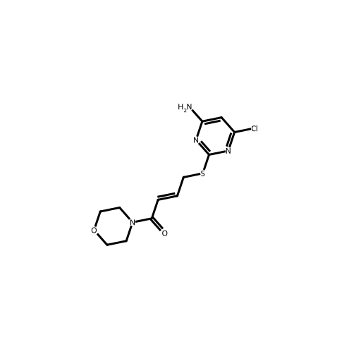 Nc1cc(Cl)nc(SC/C=C/C(=O)N2CCOCC2)n1